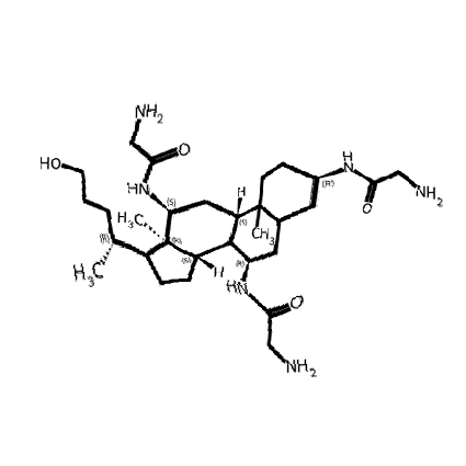 C[C@H](CCCO)C1CC[C@H]2C3[C@H](NC(=O)CN)CC4C[C@H](NC(=O)CN)CCC4(C)[C@H]3C[C@H](NC(=O)CN)[C@]12C